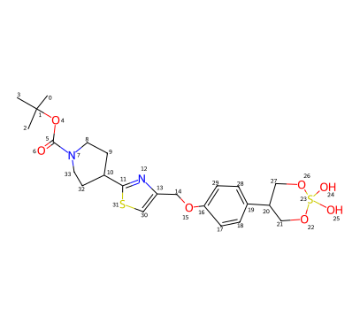 CC(C)(C)OC(=O)N1CCC(c2nc(COc3ccc(C4COS(O)(O)OC4)cc3)cs2)CC1